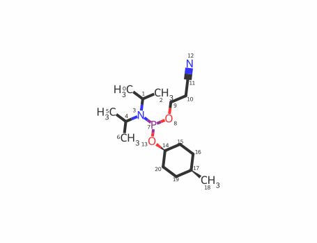 CC(C)N(C(C)C)P(OCCC#N)O[C@H]1CC[C@@H](C)CC1